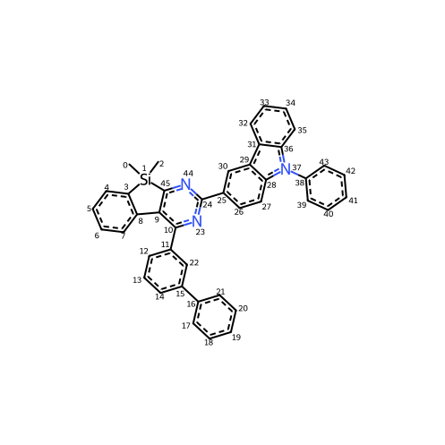 C[Si]1(C)c2ccccc2-c2c(-c3cccc(-c4ccccc4)c3)nc(-c3ccc4c(c3)c3ccccc3n4-c3ccccc3)nc21